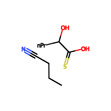 CCCC#N.CCCC(O)C(O)=S